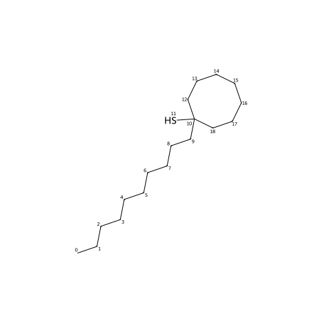 CCCCCCCCCCC1(S)CCCCCCC1